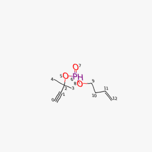 C#CC(C)(C)O[PH](=O)OCCC=C